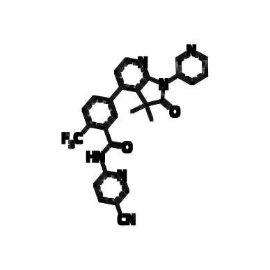 CC1(C)C(=O)N(c2cccnc2)c2nccc(-c3ccc(C(F)(F)F)c(C(=O)Nc4ccc(C#N)cn4)c3)c21